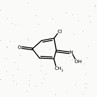 CC1=CC(=O)C=C(Cl)/C1=N/O